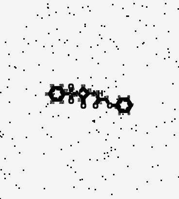 O=C(COc1ccccc1)N[C@@H]1CN(S(=O)(=O)c2ccccc2)C1=O